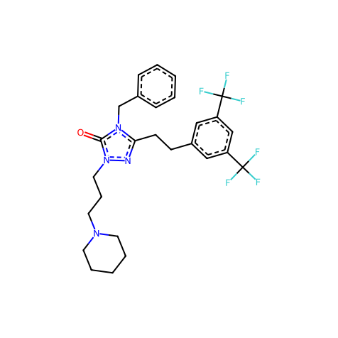 O=c1n(CCCN2CCCCC2)nc(CCc2cc(C(F)(F)F)cc(C(F)(F)F)c2)n1Cc1ccccc1